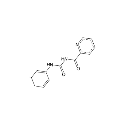 O=C(NC(=O)c1ccccn1)NC1=C[CH]CC=C1